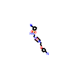 N#Cc1ccc(OCCCN2CC3CN(CCNS(=O)(=O)c4cccc(C#N)c4)CC(C2)O3)cc1